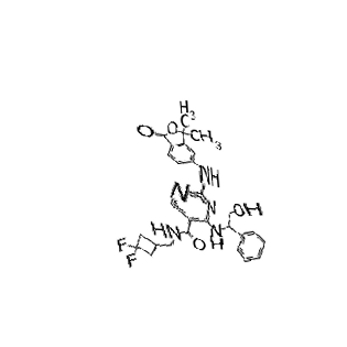 CC1(C)OC(=O)c2ccc(Nc3ncc(C(=O)NCC4CC(F)(F)C4)c(NC(CO)c4ccccc4)n3)cc21